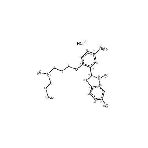 COCCN(CCCOc1ccc(OC)cc1C1Sc2ccc(Cl)cc2N1C(C)=O)C(C)C.Cl